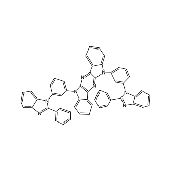 c1ccc(-c2nc3ccccc3n2-c2cccc(-n3c4ccccc4c4nc5c(nc43)c3ccccc3n5-c3cccc(-n4c(-c5ccccc5)nc5ccccc54)c3)c2)cc1